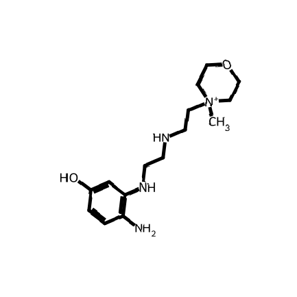 C[N+]1(CCNCCNc2cc(O)ccc2N)CCOCC1